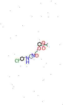 CC(C)=C1Oc2cccc(OCCCC(=O)N3CCC(NCc4ccc(Cl)cc4)CC3)c2C1=O